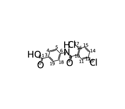 O=C(O)c1ccc(NC(=O)c2cc(Cl)ccc2Cl)cc1